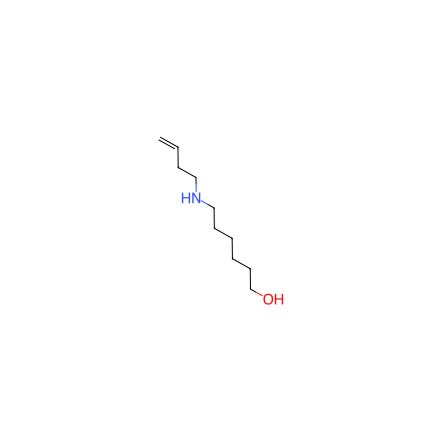 C=CCCNCCCCCCO